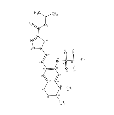 CC(C)OC(=O)c1nnc(N=Nc2cc3c(cc2NS(=O)(=O)C(F)(F)F)N(C)C(C)CC3)s1